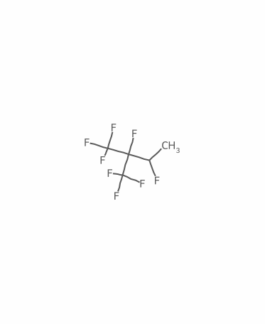 CC(F)C(F)(C(F)(F)F)C(F)(F)F